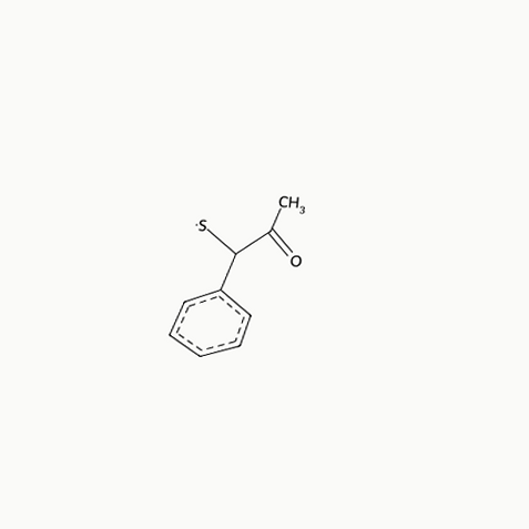 CC(=O)C([S])c1ccccc1